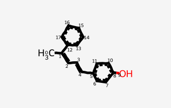 CC(=CC=Cc1ccc(O)cc1)c1ccccc1